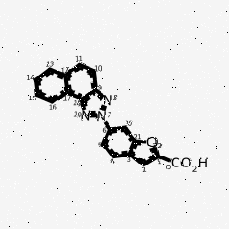 O=C(O)c1cc2ccc(-n3nc4ccc5ccccc5c4n3)cc2o1